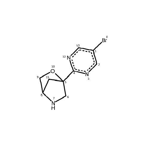 Brc1cnc(C23CNC(CO2)C3)nc1